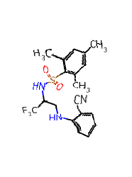 Cc1cc(C)c(S(=O)(=O)NC(CNc2ccccc2C#N)C(F)(F)F)c(C)c1